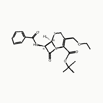 CCOCC1=C(C(=O)OC(C)(C)C)N2C(=O)[C@@H](NC(=O)c3ccccc3)[C@H]2SC1